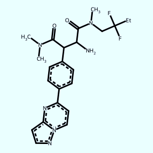 CCC(F)(F)CN(C)C(=O)C(N)C(C(=O)N(C)C)c1ccc(-c2ccn3nccc3n2)cc1